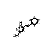 ClCc1cc(/C=C/c2ccccc2)[nH]n1